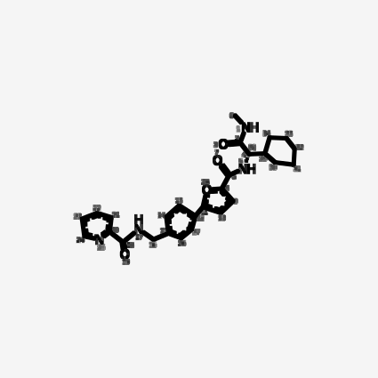 CNC(=O)[C@@H](NC(=O)c1ccc(-c2ccc(CNC(=O)c3ccccn3)cc2)o1)C1CCCCC1